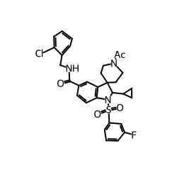 CC(=O)N1CCC2(CC1)c1cc(C(=O)NCc3ccccc3Cl)ccc1N(S(=O)(=O)c1cccc(F)c1)C2C1CC1